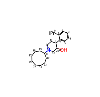 CC(C)c1ccccc1C1CCN(C2CCCCCCCC2)CC1O